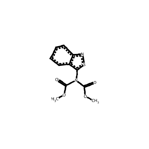 COC(=O)N(C(=O)OC)c1snc2ccccc12